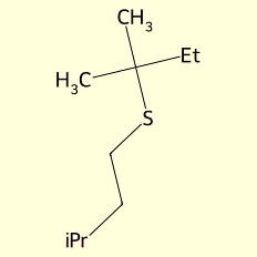 CCC(C)(C)SCCC(C)C